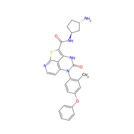 Cc1cc(Oc2ccccc2)ccc1N1C(=O)Nc2c(C(=O)N[C@H]3CC[C@H](N)C3)sc3nccc1c23